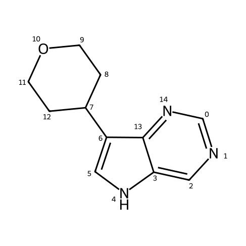 c1ncc2[nH]cc(C3CCOCC3)c2n1